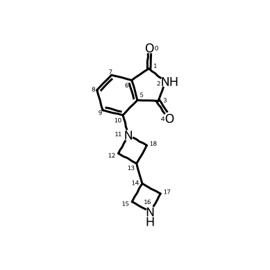 O=C1NC(=O)c2c1cccc2N1CC(C2CNC2)C1